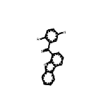 O=C(c1cc(Cl)ccc1Br)c1cccc2c1oc1ccccc12